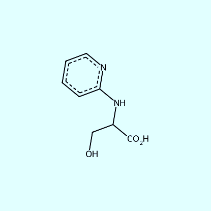 O=C(O)C(CO)Nc1ccccn1